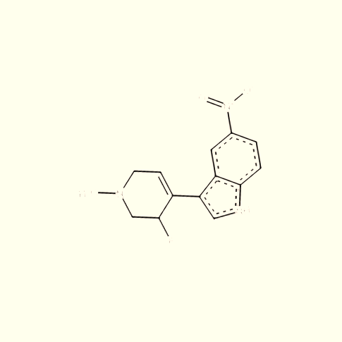 CN1CC=C(c2c[nH]c3ccc([N+](=O)[O-])cc23)C(F)C1